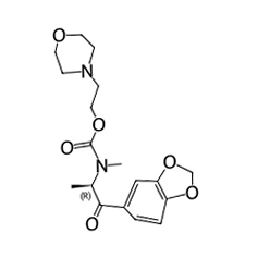 C[C@H](C(=O)c1ccc2c(c1)OCO2)N(C)C(=O)OCCN1CCOCC1